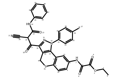 CCOC(=O)C(=O)Nc1ccc2c(c1)-c1c(c(C(=O)C(C#N)C(=O)Nc3ccccc3)nn1-c1ccc(F)cc1)CS2